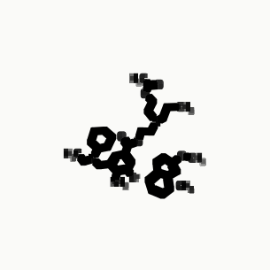 C.CCCN(CCOC(C)=O)CCOC(=O)c1cc(Br)c(N)c(CN(CC)C2CCCCC2)c1.COc1ccc2ccccc2c1